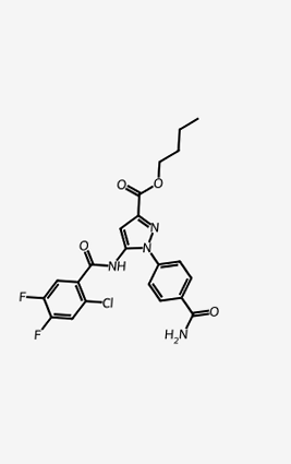 CCCCOC(=O)c1cc(NC(=O)c2cc(F)c(F)cc2Cl)n(-c2ccc(C(N)=O)cc2)n1